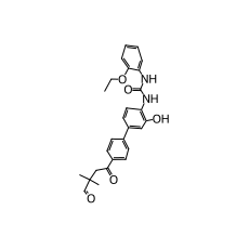 CCOc1ccccc1NC(=O)Nc1ccc(-c2ccc(C(=O)CC(C)(C)C=O)cc2)cc1O